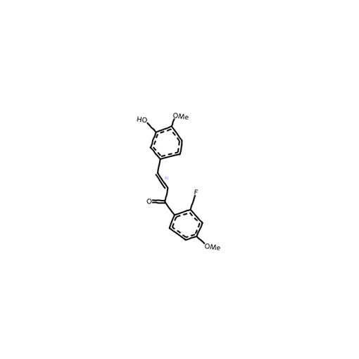 COc1ccc(C(=O)/C=C/c2ccc(OC)c(O)c2)c(F)c1